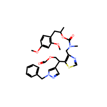 COc1ccc(CC(C)OC(=O)N(C)Cc2ncsc2C(COC=O)c2cnn(Cc3ccccc3)c2)c(OC)c1